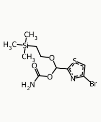 C[Si](C)(C)CCOC(OC(N)=O)c1nc(Br)cs1